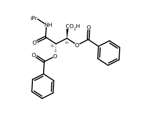 CC(C)NC(=O)[C@@H](OC(=O)c1ccccc1)[C@H](OC(=O)c1ccccc1)C(=O)O